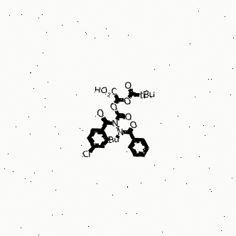 CC(C)(C)C(=O)OC(OC(=O)N(C(=O)c1ccc(Cl)cc1)N(C(=O)c1ccccc1)C(C)(C)C)C(=O)O